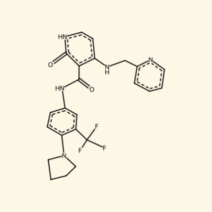 O=C(Nc1ccc(N2CCCC2)c(C(F)(F)F)c1)c1c(NCc2ccccn2)cc[nH]c1=O